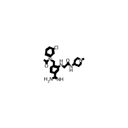 CC(=O)N(Cc1ccc(C(=N)N)cc1NCC(=O)NC1CCN(C)CC1)c1cccc(Cl)c1